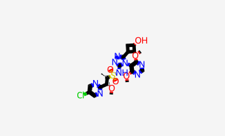 COc1ncnc(OC)c1-n1c(NS(=O)(=O)[C@@H](C)[C@H](OC)c2ncc(Cl)cn2)nnc1C1CC(O)C1